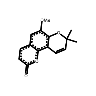 COc1cc2ccc(=O)oc2c2c1OC(C)(C)C=C2